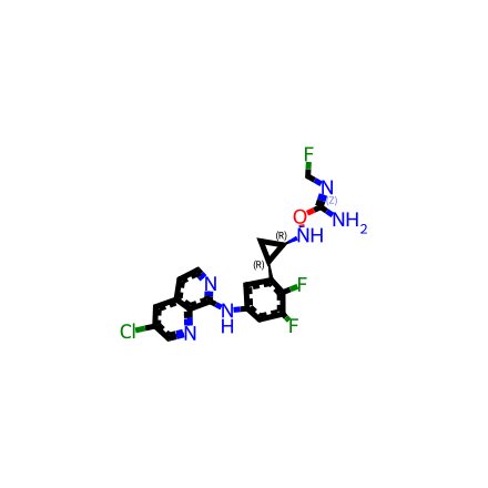 N/C(=N/CF)ON[C@@H]1C[C@@H]1c1cc(Nc2nccc3cc(Cl)cnc23)cc(F)c1F